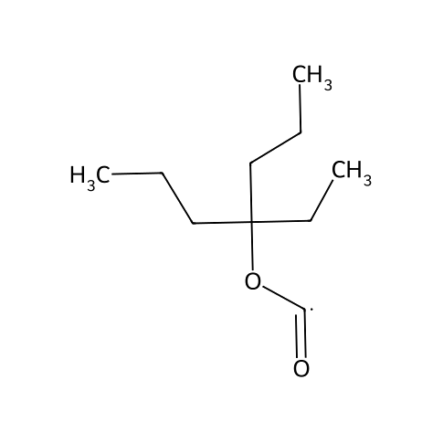 CCCC(CC)(CCC)O[C]=O